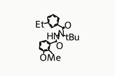 CCc1cccc(C(=O)N(NC(=O)c2cccc(OC)c2C)C(C)(C)C)c1